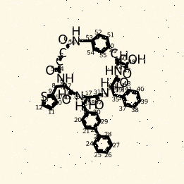 O=C1CCC(=O)N[C@@H](Cc2cccs2)C(=O)N[C@@H](Cc2ccc(-c3ccccc3)cc2)C(=O)N[C@H](Cc2ccccc2)C(=O)N[C@@H](C(=O)O)Cc2ccc(cc2)N1